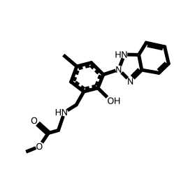 COC(=O)CNCc1cc(C)cc(N2N=C3C=CC=CC3N2)c1O